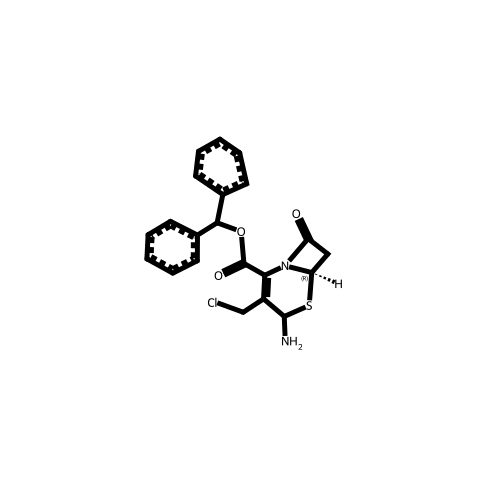 NC1S[C@@H]2CC(=O)N2C(C(=O)OC(c2ccccc2)c2ccccc2)=C1CCl